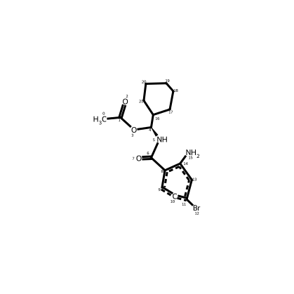 CC(=O)O[C@H](NC(=O)c1ccc(Br)cc1N)C1CCCCC1